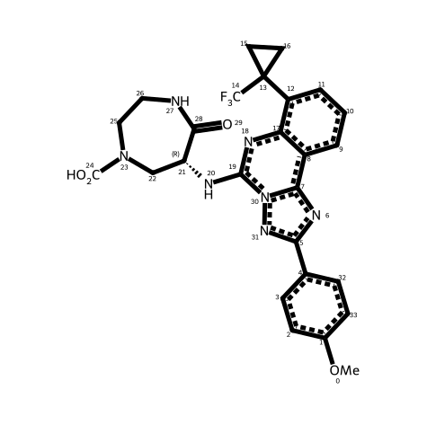 COc1ccc(-c2nc3c4cccc(C5(C(F)(F)F)CC5)c4nc(N[C@@H]4CN(C(=O)O)CCNC4=O)n3n2)cc1